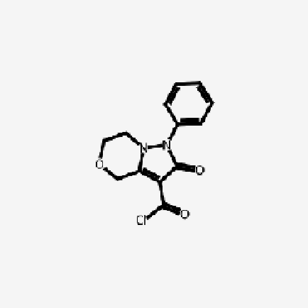 O=C(Cl)c1c2n(n(-c3ccccc3)c1=O)CCOC2